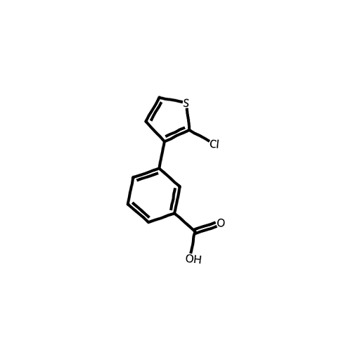 O=C(O)c1cccc(-c2ccsc2Cl)c1